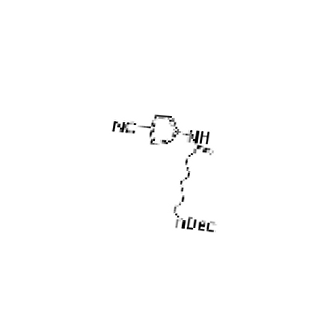 C=C(CCCCCCCCCCCCCCC)Nc1ccc(C#N)cc1